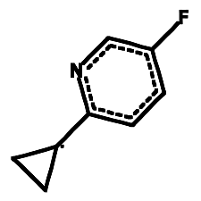 Fc1ccc([C]2CC2)nc1